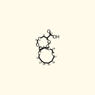 O=C(O)C1CCCOOC2(CCCCCCCCCCC2)OO1